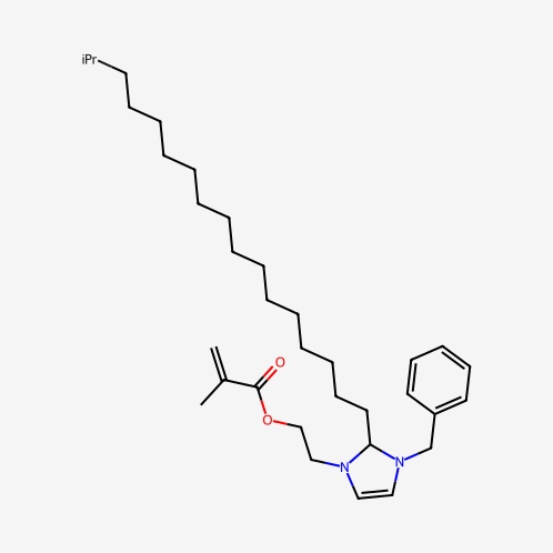 C=C(C)C(=O)OCCN1C=CN(Cc2ccccc2)C1CCCCCCCCCCCCCCCC(C)C